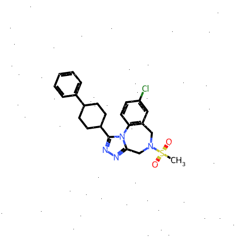 CS(=O)(=O)N1Cc2cc(Cl)ccc2-n2c(nnc2C2CCC(c3ccccc3)CC2)C1